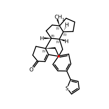 C[C@@]12CCC[C@H]1[C@@H]1CCC3=CC(=O)CC[C@]3(Cc3ccc(-c4cccs4)cc3)[C@@H]1CC2